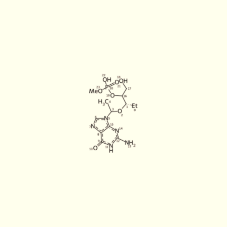 CC[C@H](OC(C)n1cnc2c(=O)[nH]c(N)nc21)C(CO)OP(=O)(O)OC